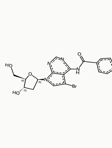 O=C(Nc1ncnc2c1c(Br)cn2[C@H]1C[C@H](O)[C@@H](CO)O1)c1ccccc1